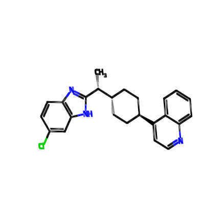 C[C@@H](c1nc2ccc(Cl)cc2[nH]1)[C@H]1CC[C@H](c2ccnc3ccccc32)CC1